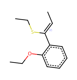 C/C=C(\SCC)c1ccccc1OCC